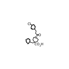 O=C(CCc1ccc(Cl)cc1)N1CCC(Cc2ccccc2)(C(=O)O)CC1